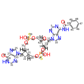 O=C(Nc1ncnc2c1ncn2[C@H]1C[C@@H]2OP(O)(=S)OC[C@H]3C[C@@H](n4cnc5c(=O)[nH]cnc54)[C@@H]3COP(O)(=S)OC[C@H]2O1)c1ccccc1